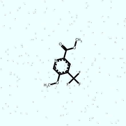 COC(=O)c1cc(C(F)(F)F)c(OC)cn1